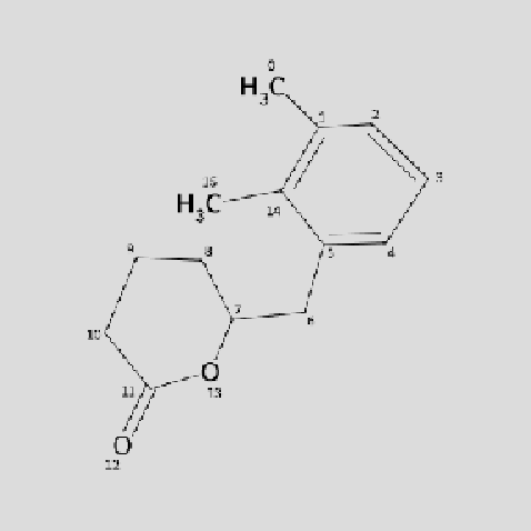 Cc1cccc(CC2CCCC(=O)O2)c1C